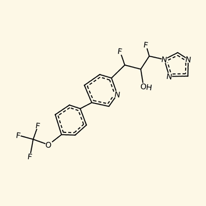 OC(C(F)c1ccc(-c2ccc(OC(F)(F)F)cc2)cn1)C(F)n1cncn1